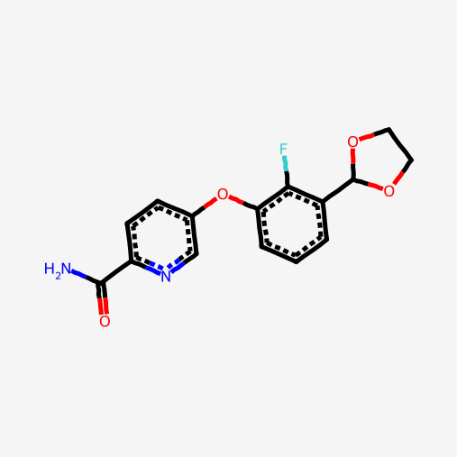 NC(=O)c1ccc(Oc2cccc(C3OCCO3)c2F)cn1